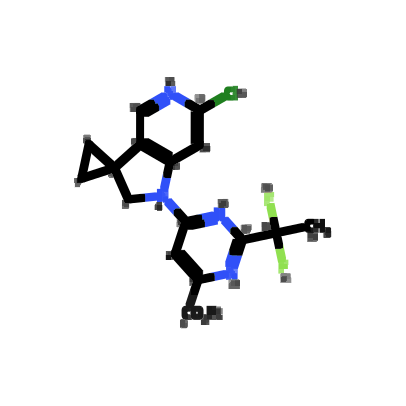 CCOC(=O)c1cc(N2CC3(CC3)c3cnc(Cl)cc32)nc(C(C)(F)F)n1